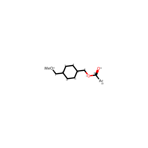 COCC1CCC(COC(=O)C(C)=O)CC1